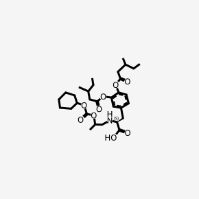 CCC(C)CC(=O)Oc1ccc(C[C@H](NCC(C)OC(=O)OC2CCCCC2)C(=O)O)cc1OC(=O)CC(C)CC